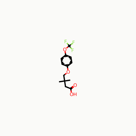 CC(C)(COc1ccc(OC(F)(F)F)cc1)CC(=O)O